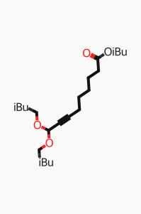 CCC(C)COC(C#CCCCCCC(=O)OCC(C)C)OCC(C)CC